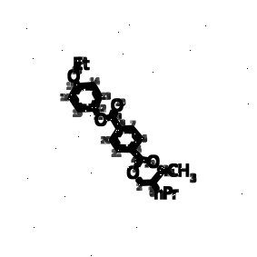 CCCC1COC(c2ccc(C(=O)Oc3ccc(OCC)cc3)cc2)OC1C